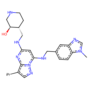 CC(C)c1cnn2c(NCc3ccc4c(c3)ncn4C)cc(NC[C@H]3CCNC[C@@H]3O)nc12